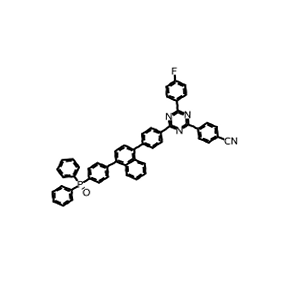 N#Cc1ccc(-c2nc(-c3ccc(F)cc3)nc(-c3ccc(-c4ccc(-c5ccc(P(=O)(c6ccccc6)c6ccccc6)cc5)c5ccccc45)cc3)n2)cc1